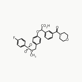 CN(Cc1ccc(OC(C(=O)O)c2cccc(C(=O)N3CCOCC3)c2)cc1)S(=O)(=O)c1ccc(F)cc1